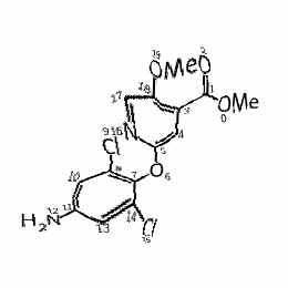 COC(=O)c1cc(Oc2c(Cl)cc(N)cc2Cl)ncc1OC